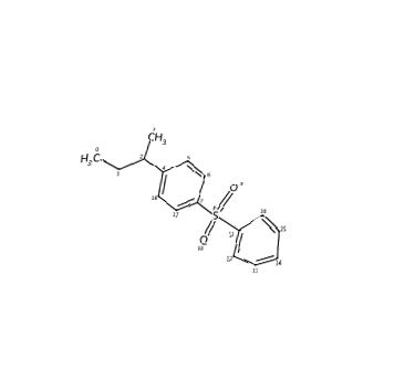 CCC(C)c1ccc(S(=O)(=O)c2ccccc2)cc1